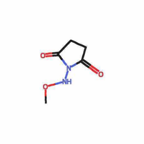 CONN1C(=O)CCC1=O